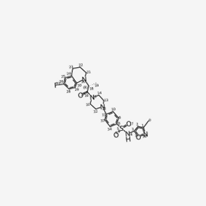 Cc1cc(NS(=O)(=O)c2ccc(N3CCN(C(=O)[C@@H](C)N4CCCc5cc(F)ccc54)CC3)cc2)on1